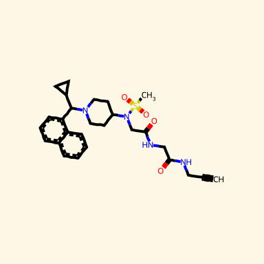 C#CCNC(=O)CNC(=O)CN(C1CCN(C(c2cccc3ccccc23)C2CC2)CC1)S(C)(=O)=O